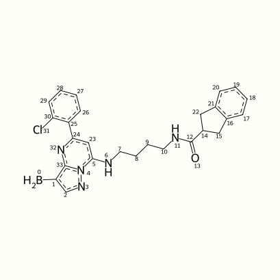 Bc1cnn2c(NCCCCNC(=O)C3Cc4ccccc4C3)cc(-c3ccccc3Cl)nc12